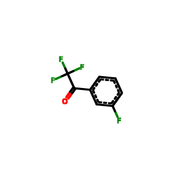 O=C(c1cccc(F)c1)C(F)(F)F